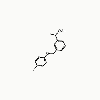 CC(=O)OC(C)c1cccc(COc2ccc(I)cc2)c1